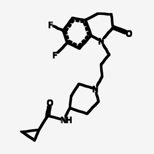 O=C(NC1CCN(CCCN2C(=O)CCc3cc(F)c(F)cc32)CC1)C1CC1